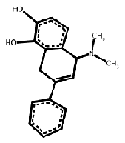 CN(C)C1C=C(c2ccccc2)Cc2c1ccc(O)c2O